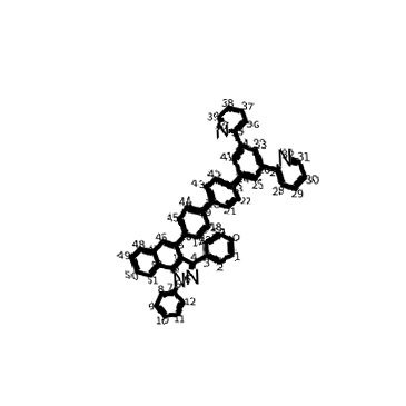 c1ccc(-c2nn(-c3ccccc3)c3c2c(-c2ccc(-c4ccc(-c5cc(-c6ccccn6)cc(-c6ccccn6)c5)cc4)cc2)cc2ccccc23)cc1